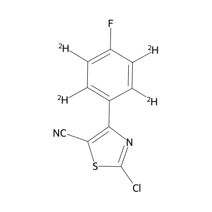 [2H]c1c([2H])c(-c2nc(Cl)sc2C#N)c([2H])c([2H])c1F